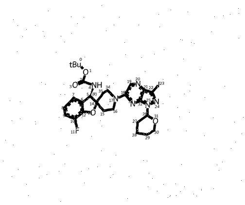 CC(C)(C)OC(=O)N[C@@H]1c2cccc(F)c2OC12CCN(c1cnc3c(I)nn(C4CCCCO4)c3n1)CC2